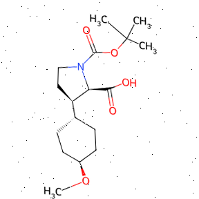 CO[C@H]1CC[C@H]([C@H]2CCN(C(=O)OC(C)(C)C)[C@H]2C(=O)O)CC1